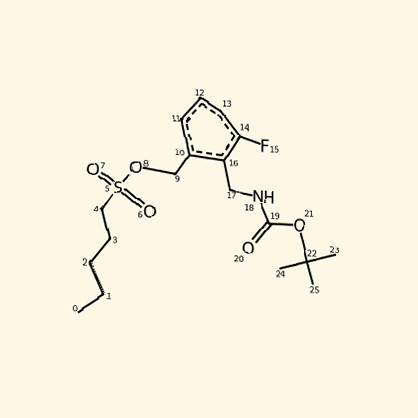 CCCCCS(=O)(=O)OCc1cccc(F)c1CNC(=O)OC(C)(C)C